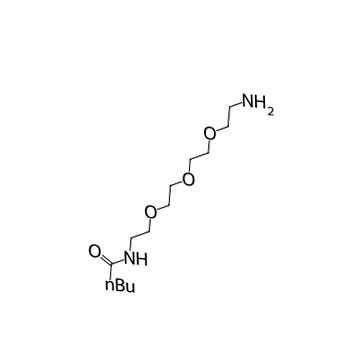 CCCCC(=O)NCCOCCOCCOCCN